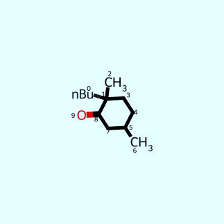 CCCCC1(C)CCC(C)CC1=O